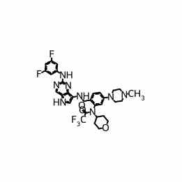 CN1CCN(c2ccc(C(=O)Nc3c[nH]c4cnc(Nc5cc(F)cc(F)c5)nc34)c(N(C(=O)C(F)(F)F)C3CCOCC3)c2)CC1